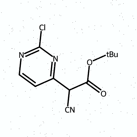 CC(C)(C)OC(=O)C(C#N)c1ccnc(Cl)n1